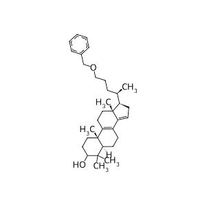 C[C@H](CCCOCc1ccccc1)[C@H]1CC=C2C3=C(CC[C@@]21C)[C@@]1(C)CCC(O)C(C)(C)[C@@H]1CC3